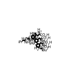 CC(C)C(N)C(=O)O.CC(C)CC(N)C(=O)O.CCC(C)C(N)C(=O)O.NC(Cc1c[nH]c2ccccc12)C(=O)O.NC(Cc1ccc(O)cc1)C(=O)O.NC(Cc1ccccc1)C(=O)O